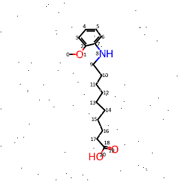 COc1ccccc1NCCCCCCCCCC(=O)O